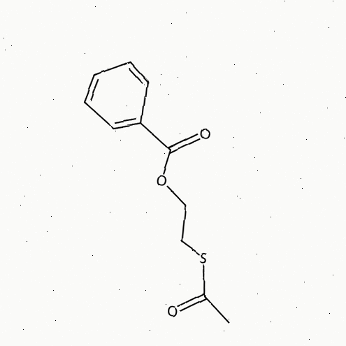 CC(=O)SCCOC(=O)c1ccccc1